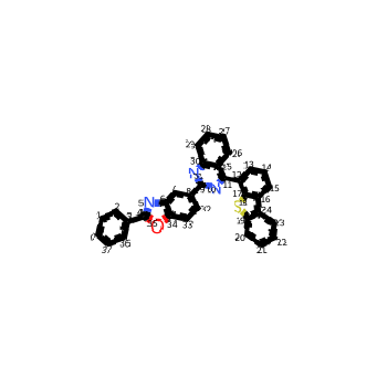 c1ccc(-c2nc3cc(-c4nc(-c5cccc6c5sc5ccccc56)c5ccccc5n4)ccc3o2)cc1